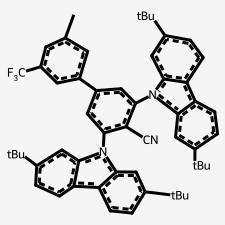 Cc1cc(-c2cc(-n3c4cc(C(C)(C)C)ccc4c4ccc(C(C)(C)C)cc43)c(C#N)c(-n3c4cc(C(C)(C)C)ccc4c4ccc(C(C)(C)C)cc43)c2)cc(C(F)(F)F)c1